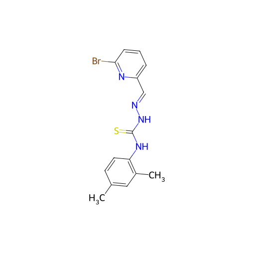 Cc1ccc(NC(=S)NN=Cc2cccc(Br)n2)c(C)c1